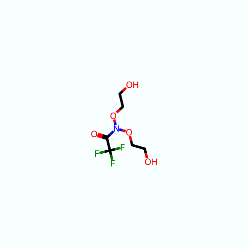 O=C(N(OCCO)OCCO)C(F)(F)F